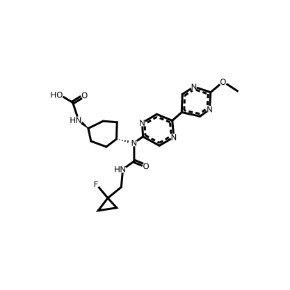 COc1ncc(-c2cnc(N(C(=O)NCC3(F)CC3)[C@H]3CC[C@H](NC(=O)O)CC3)cn2)cn1